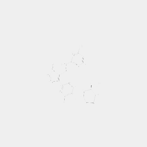 Cc1nc(-c2nnn(C)c2CNc2nccc(C(F)(F)F)n2)ccc1O[C@H]1CCC[C@H](C(=O)O)C1